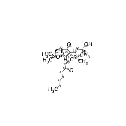 CCCCCC(=O)C=CC1=C(C(CC(=O)O)[Si](C)(C)C)C(=O)CC1O[Si](C)(C)C